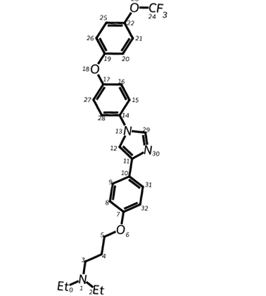 CCN(CC)CCCOc1ccc(-c2cn(-c3ccc(Oc4ccc(OC(F)(F)F)cc4)cc3)cn2)cc1